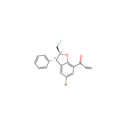 CNC(=O)c1cc(Br)cc2c1O[C@H](CF)[C@H]2c1ccccc1